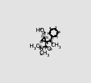 C[C@H](c1ccccc1)[C@]1(C(=O)N(C)C)C[C@@H]1CO